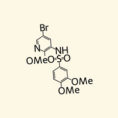 COc1ccc(S(=O)(=O)Nc2cc(Br)cnc2OC)cc1OC